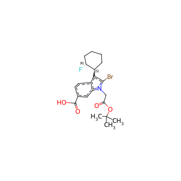 CC(C)(C)OC(=O)Cn1c(Br)c([C@@H]2CCCC[C@H]2F)c2ccc(C(=O)O)cc21